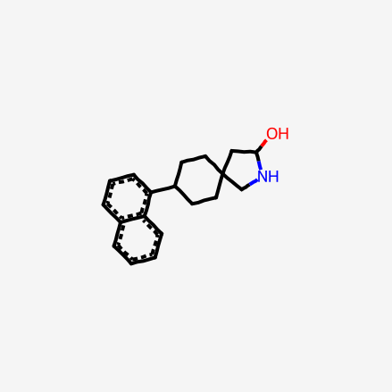 OC1CC2(CCC(c3cccc4ccccc34)CC2)CN1